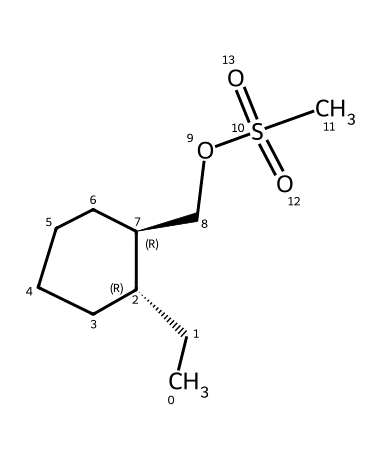 CC[C@@H]1CCCC[C@H]1COS(C)(=O)=O